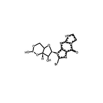 O=c1c2nc(Br)n([C@@H]3OC4COP(O)O[C@H]4C3O)c2nc2[nH]ccn12